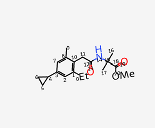 CCc1cc(C2CC2)cc(C)c1CC(=O)NC(C)(C)C(=O)OC